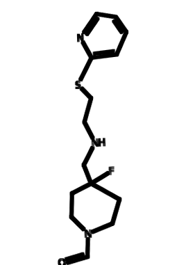 O=CN1CCC(F)(CNCCSc2ccccn2)CC1